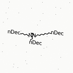 CCCCCCCCCCCCCCCCCCCn1cc[n+](CCCCCCCCCCCCCCC)c1CCCCCCCCCCCC